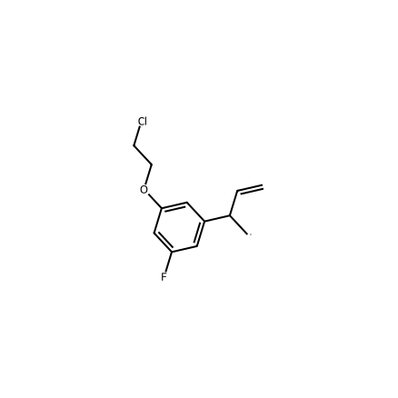 [CH2]C(C=C)c1cc(F)cc(OCCCl)c1